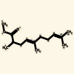 COC(=O)C(C)C/C=C(\C)CCC=C(C)C